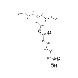 CCCCC(CCCC)CCOC(=O)CCCCCC(=O)O